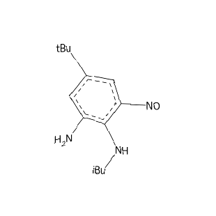 CCC(C)Nc1c(N)cc(C(C)(C)C)cc1N=O